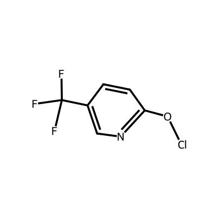 FC(F)(F)c1ccc(OCl)nc1